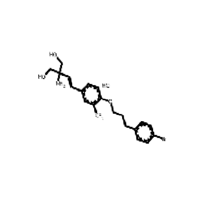 Cl.NC(/C=C/c1ccc(OCCCc2ccc(Br)cc2)c(C(F)(F)F)c1)(CO)CO